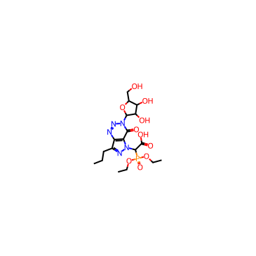 CCCc1nn(C(C(=O)O)P(=O)(OCC)OCC)c2c(=O)n(C3OC(CO)C(O)C3O)nnc12